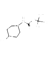 CC1C[CH]C(NC(=O)OC(C)(C)C)CC1